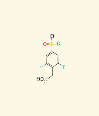 CCOC(=O)Cc1c(F)cc(S(=O)(=O)CC)cc1F